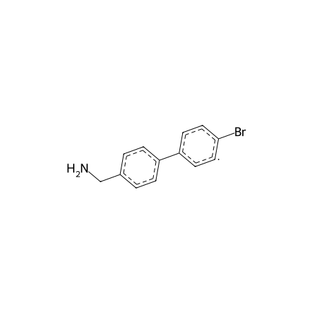 NCc1ccc(-c2c[c]c(Br)cc2)cc1